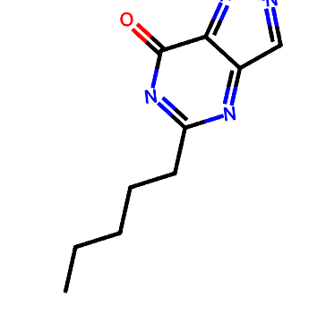 CCCCCC1=NC(=O)C2=NN=CC2=N1